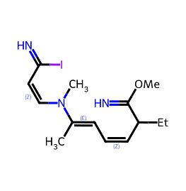 CCC(/C=C\C=C(/C)N(C)/C=C\C(=N)I)C(=N)OC